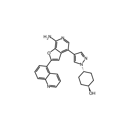 Nc1ncc(-c2cnn([C@H]3CC[C@H](O)CC3)c2)c2cc(-c3cccc4ncccc34)oc12